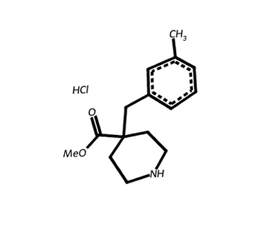 COC(=O)C1(Cc2cccc(C)c2)CCNCC1.Cl